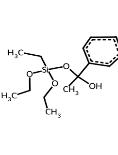 CCO[Si](CC)(OCC)OC(C)(O)c1ccccc1